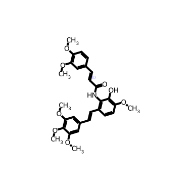 COc1ccc(/C=C/C(=O)Nc2c(C=Cc3cc(OC)c(OC)c(OC)c3)ccc(OC)c2O)cc1OC